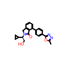 Cc1nnc(-c2ccc(-c3cccc4c3C(=O)N([C@@H](CO)C3CC3)C4)cc2)o1